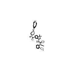 CN(C(=O)NC1CC(C)(C)c2ccc(C(=O)N(C)C3CCN(c4ccncc4)CC3)cc21)c1ccccc1Cl